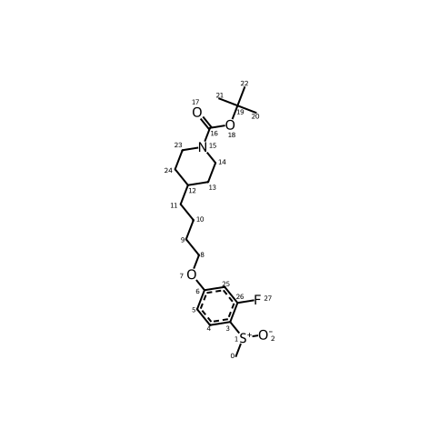 C[S+]([O-])c1ccc(OCCCCC2CCN(C(=O)OC(C)(C)C)CC2)cc1F